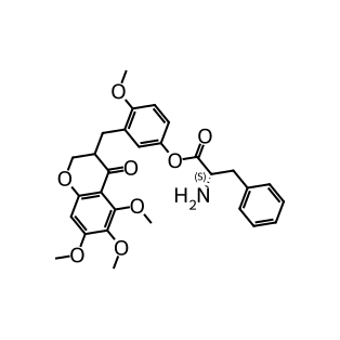 COc1ccc(OC(=O)[C@@H](N)Cc2ccccc2)cc1CC1COc2cc(OC)c(OC)c(OC)c2C1=O